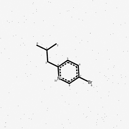 CC(C)Cc1ccc(Br)cn1